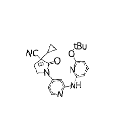 CC(C)(C)Oc1cccc(Nc2cc(N3CC[C@@](C#N)(C4CC4)C3=O)ccn2)n1